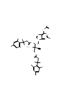 C#CC(COC(=O)CC(C)(C)c1c(C)cc(C)cc1OC(C)=O)(OC)[C@H](Cn1cnc2c(NC(=O)CCCCCCC)nc(Cl)nc21)OC(=O)CC(C)(C)c1c(C)cc(C)cc1OC(C)=O